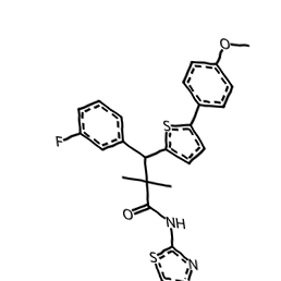 COc1ccc(-c2ccc(C(c3cccc(F)c3)C(C)(C)C(=O)Nc3nncs3)s2)cc1